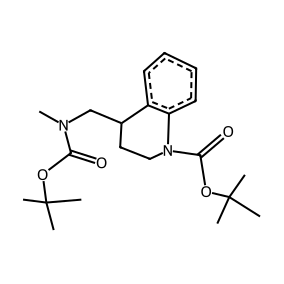 CN(CC1CCN(C(=O)OC(C)(C)C)c2ccccc21)C(=O)OC(C)(C)C